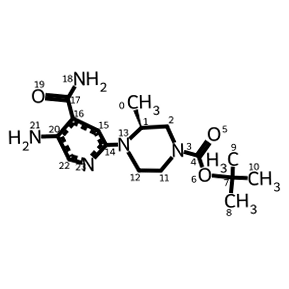 C[C@H]1CN(C(=O)OC(C)(C)C)CCN1c1cc(C(N)=O)c(N)cn1